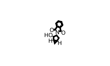 O=C1c2ccccc2C(=O)N1[C@@H]1C[C@H]2C[C@H]2[C@H]1O